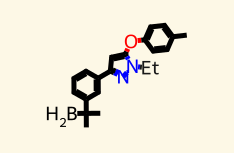 BC(C)(C)c1cccc(-c2cc(Oc3ccc(C)cc3)n(CC)n2)c1